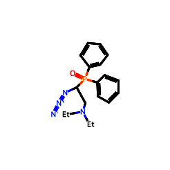 CCN(CC)CC(N=[N+]=[N-])P(=O)(c1ccccc1)c1ccccc1